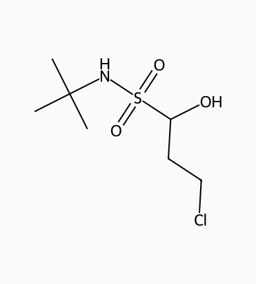 CC(C)(C)NS(=O)(=O)C(O)CCCl